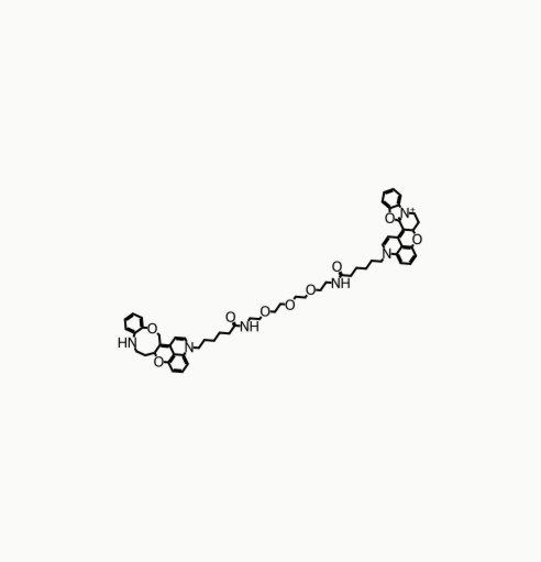 O=C(CCCCCN1C=CC2=C3COc4ccccc4NCCC3Oc3cccc1c32)NCCOCCOCCOCCNC(=O)CCCCCN1C=CC2=C3c4oc5ccccc5[n+]4CCC3Oc3cccc1c32